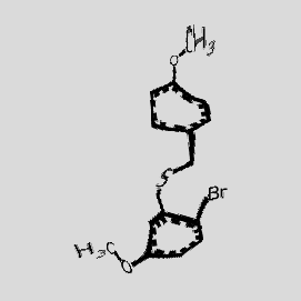 COc1ccc(CSc2cc(OC)ccc2Br)cc1